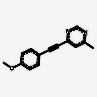 COc1ccc(C#Cc2cc(C)ncn2)cc1